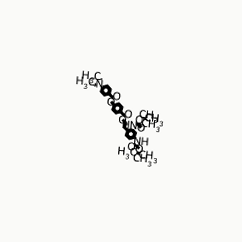 CCN(CC)c1ccc(C(=O)Oc2ccc(C(=O)OCCc3ccc(NC(=O)OC(C)(C)C)cc3NC(=O)OC(C)(C)C)cc2)cc1